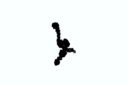 CC/C(=C(/c1ccc(OCCCCCSCc2ccccn2)cc1)c1ccc(OCc2ccccc2)cc1)c1ccccc1